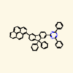 c1ccc(-c2nc(-c3ccccc3)nc(-c3ccc4c(c3)C(c3ccccc3)(c3ccccc3)c3ccc(-c5ccc6ccc7cccc8ccc5c6c78)cc3-4)n2)cc1